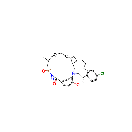 CCCc1cc(Cl)ccc1C1COc2ccc3cc2N(C1)CC1CCC1CCCCC(C)C[S+]([O-])NC3=O